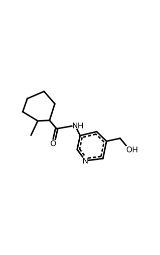 CC1CCCCC1C(=O)Nc1cncc(CO)c1